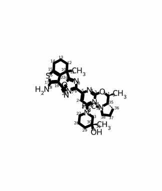 C[C@H](Oc1nc(-c2noc(C3(C)CCCc4sc(N)c(C#N)c43)n2)cc(N2CCC[C@@](C)(O)C2)n1)[C@@H]1CCCN1C